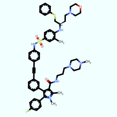 Cc1cc(S(=O)(=O)Nc2ccc(C#Cc3cccc(-c4c(C(=O)NCCCN5CCN(C)CC5)c(C)n(C)c4-c4ccc(F)cc4)c3)cc2)ccc1N[C@H](CCN1CCOCC1)CSc1ccccc1